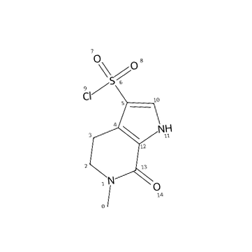 CN1CCc2c(S(=O)(=O)Cl)c[nH]c2C1=O